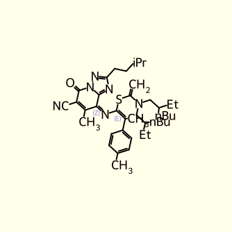 C=C(SC(/N=C1/C(C)=C(C#N)C(=O)n2nc(CCC(C)C)nc21)=C(\C)c1ccc(C)cc1)N(CC(CC)CCCC)CC(CC)CCCC